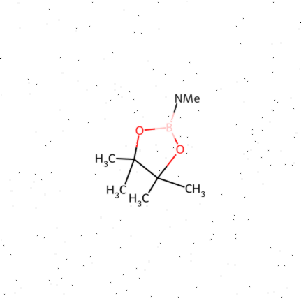 CNB1OC(C)(C)C(C)(C)O1